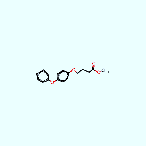 COC(=O)CCCOc1ccc(Oc2ccccc2)cc1